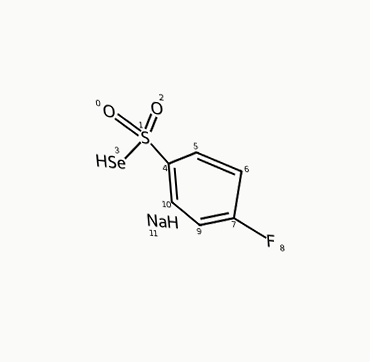 O=S(=O)([SeH])c1ccc(F)cc1.[NaH]